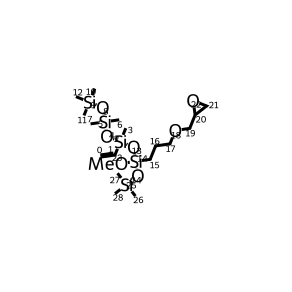 C=C[Si](C)(O[Si](C)(C)O[Si](C)(C)C)O[Si](CCCOCC1CO1)(OC)O[Si](C)(C)C